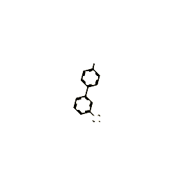 CS(=O)(=O)c1cccc(-c2ccc(F)cc2)c1